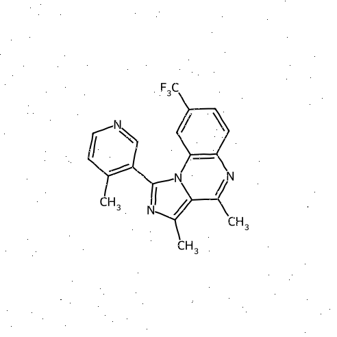 Cc1ccncc1-c1nc(C)c2c(C)nc3ccc(C(F)(F)F)cc3n12